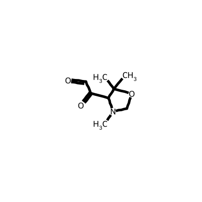 CN1COC(C)(C)C1C(=O)C=O